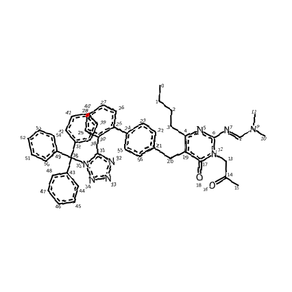 CCCCc1nc(N=CN(C)C)n(CC(C)=O)c(=O)c1Cc1ccc(-c2ccccc2-c2nnnn2C(c2ccccc2)(c2ccccc2)c2ccccc2)cc1